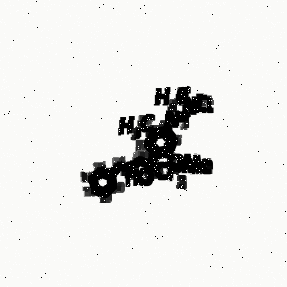 CCN(C)C=Nc1cc(OC)c(C(O)(CSCc2ccccc2)C(F)(F)F)cc1C